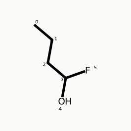 CCCC(O)F